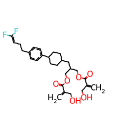 C=C(CO)C(=O)OCC(COC(=O)C(=C)CO)CC1CCC(c2ccc(CCC=C(F)F)cc2)CC1